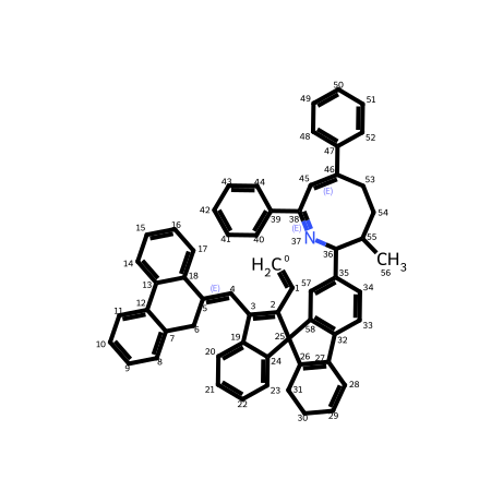 C=CC1=C(/C=C2\Cc3ccccc3-c3ccccc32)c2ccccc2C12C1=C(C=CCC1)c1ccc(C3/N=C(c4ccccc4)\C=C(\c4ccccc4)CCC3C)cc12